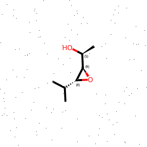 CC(C)[C@H]1O[C@@H]1[C@H](C)O